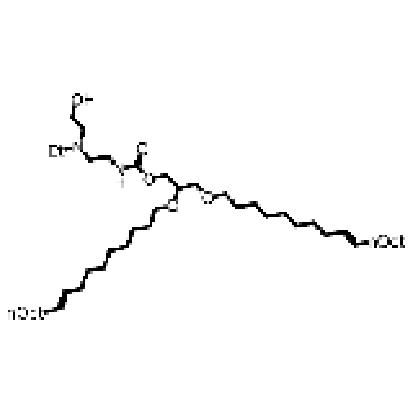 CCCCCCCCC=CCCCCCCCCOCC(COC(=O)NCCN(CC)CCO)OCCCCCCCCC=CCCCCCCCC